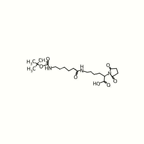 CC(C)(C)OC(=O)NCCCCCC(=O)NCCCCC(C(=O)O)N1C(=O)CCC1=O